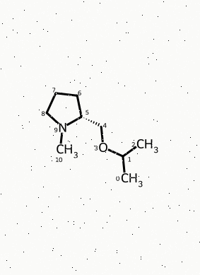 CC(C)OC[C@H]1CCCN1C